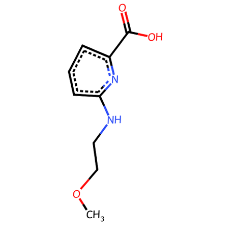 COCCNc1cccc(C(=O)O)n1